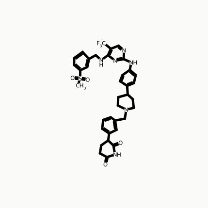 CS(=O)(=O)c1cccc(CNc2nc(Nc3ccc(C4CCN(Cc5cccc(C6CCC(=O)NC6=O)c5)CC4)cc3)ncc2C(F)(F)F)c1